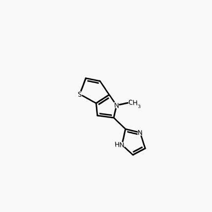 Cn1c(-c2ncc[nH]2)cc2sccc21